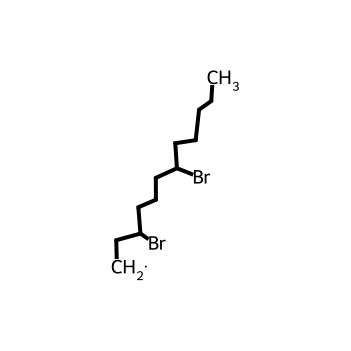 [CH2]CC(Br)CCCC(Br)CCCCC